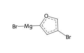 [Br][Mg][c]1cc(Br)co1